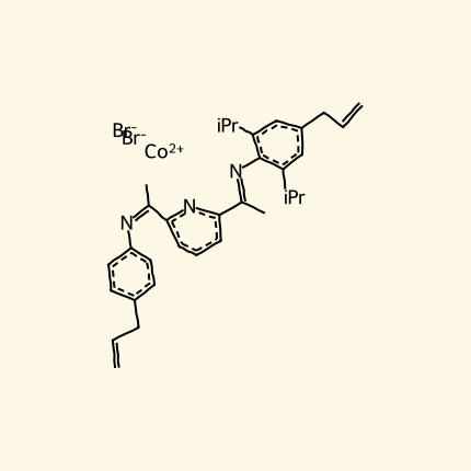 C=CCc1ccc(N=C(C)c2cccc(C(C)=Nc3c(C(C)C)cc(CC=C)cc3C(C)C)n2)cc1.[Br-].[Br-].[Co+2]